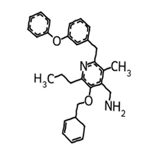 CCCc1nc(Cc2cccc(Oc3ccccc3)c2)c(C)c(CN)c1OCC1C=CC=CC1